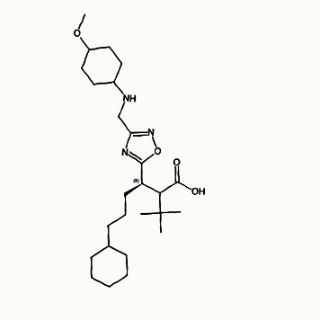 COC1CCC(NCc2noc([C@H](CCCC3CCCCC3)C(C(=O)O)C(C)(C)C)n2)CC1